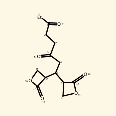 CCC(=O)CCC(=O)CC(C1COC1=O)C1COC1=O